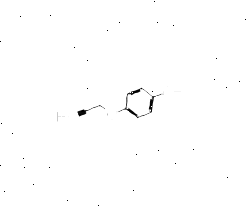 C#CCOc1ccc(C)cc1